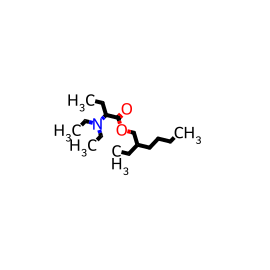 CCCCC(CC)COC(=O)C(CC)N(CC)CC